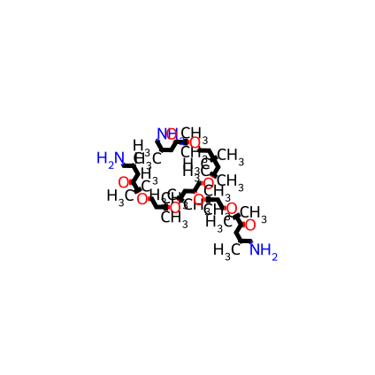 CC(CN)CC(=O)C(C)(C)OCCC(C)(C)CC(C)(C)OCC(CC(C)(C)OC(C)(C)CCOC(C)(C)C(=O)CC(C)CN)OC(C)(C)CCOC(C)(C)C(=O)CC(C)CN